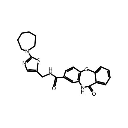 O=C(NCc1cnc(N2CCCCCC2)s1)c1ccc2c(c1)NC(=O)c1ccccc1S2